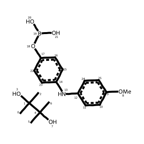 CC(C)(O)C(C)(C)O.COc1ccc(Nc2ccc(OB(O)O)cc2)cc1